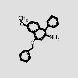 COc1ccc2c(-c3ccccc3)c(N)cc(OCc3ccccc3)c2c1